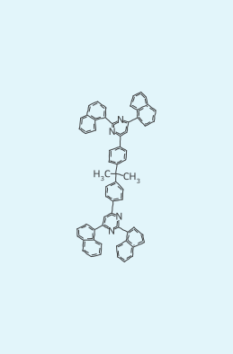 CC(C)(c1ccc(-c2cc(-c3cccc4ccccc34)nc(-c3cccc4ccccc34)n2)cc1)c1ccc(-c2cc(-c3cccc4ccccc34)nc(-c3cccc4ccccc34)n2)cc1